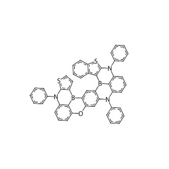 c1ccc(N2c3cc4c(cc3B3c5c2cccc5N(c2ccccc2)c2sc5ccccc5c23)B2c3ccsc3N(c3ccccc3)c3cccc(c32)O4)cc1